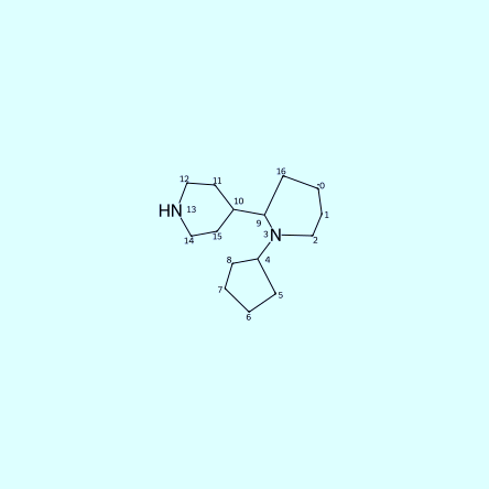 [CH]1CCN(C2CCCC2)C(C2CCNCC2)C1